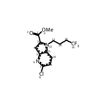 COC(=O)c1cc2nc(Cl)ccc2n1CCCC(F)(F)F